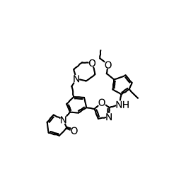 CCOCc1ccc(C)c(Nc2ncc(-c3cc(CN4CCOCC4)cc(-n4ccccc4=O)c3)o2)c1